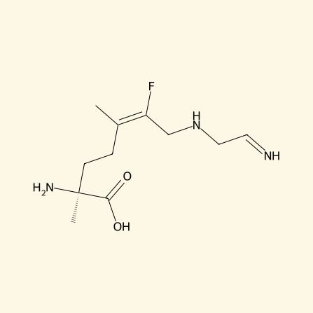 C/C(CC[C@](C)(N)C(=O)O)=C(\F)CNCC=N